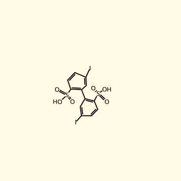 O=S(=O)(O)c1ccc(I)cc1-c1cc(I)ccc1S(=O)(=O)O